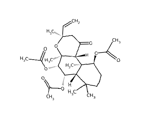 C=C[C@@]1(C)CC(=O)[C@H]2[C@](C)(O1)[C@@H](OC(C)=O)[C@@H](OC(C)=O)[C@H]1C(C)(C)CC[C@H](OC(C)=O)[C@@]12C